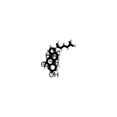 CC(C)CCCC(C)[C@H]1CC[C@H]2[C@@H]3CC(=O)[C@H]4C[C@H](O)CC[C@]4(C)[C@H]3CC[C@]12C